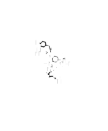 CC(=O)c1sc(NC(=O)N[C@@H]2C[C@@H](N(C)C(C)=O)CC[C@H]2CN(C)CC(C)(C)Cc2ccc(F)cc2)nc1C